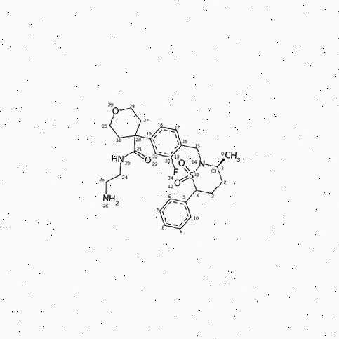 C[C@H]1CCC(c2ccccc2)S(=O)(=O)N1Cc1ccc(C2(C(=O)NCCN)CCOCC2)cc1F